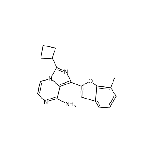 Cc1cccc2cc(-c3nc(C4CCC4)n4ccnc(N)c34)oc12